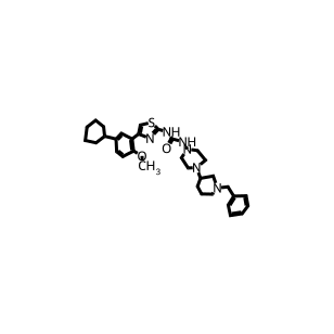 COc1ccc(C2CCCCC2)cc1-c1csc(NC(=O)NN2CCN(C3CCCN(Cc4ccccc4)C3)CC2)n1